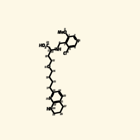 COc1cncc(Cl)c1CN[C@@H](CCOCCCCc1ccc2c(n1)NCCC2)C(=O)O